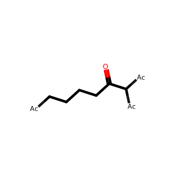 CC(=O)CCCCC(=O)C(C(C)=O)C(C)=O